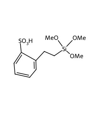 CO[Si](CCc1ccccc1S(=O)(=O)O)(OC)OC